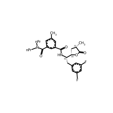 CCCN(CCC)C(=O)c1cc(C)cc(C(=O)N[C@@H](Cc2cc(F)cc(F)c2)[C@@H]2C[C@H](C)C(=O)O2)c1